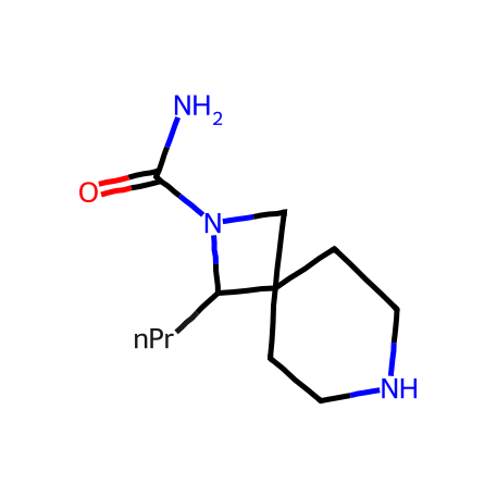 CCCC1N(C(N)=O)CC12CCNCC2